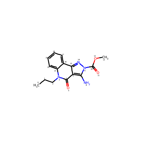 CCCn1c(=O)c2c(N)n(C(=O)OC)nc2c2ccccc21